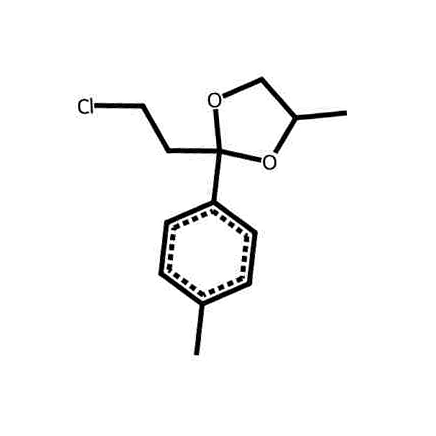 Cc1ccc(C2(CCCl)OCC(C)O2)cc1